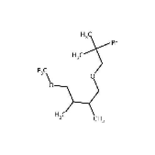 CC(COCC(C)(C)C(C)C)C(C)COC(F)(F)F